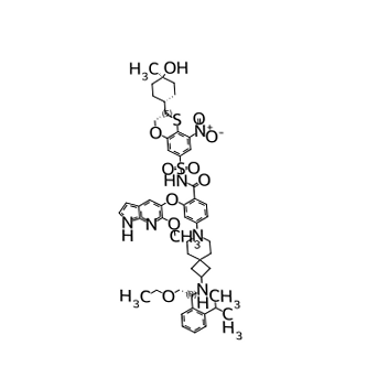 CCOC[C@H](NC1CC2(CCN(c3ccc(C(=O)NS(=O)(=O)c4cc5c(c([N+](=O)[O-])c4)S[C@@H]([C@H]4CC[C@](C)(O)CC4)CO5)c(Oc4cc5cc[nH]c5nc4OC)c3)CC2)C1)c1ccccc1C(C)C